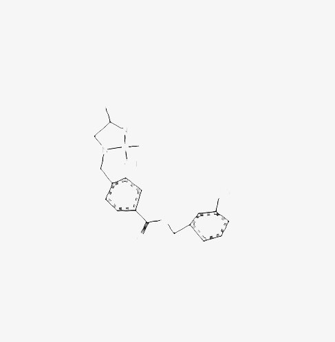 O=C(O)c1cccc(COC(=O)c2ccc(CN3CC(O)NS3(O)O)cc2)c1